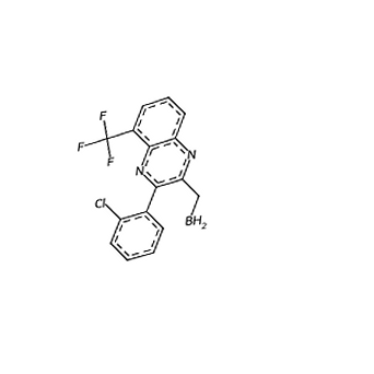 BCc1nc2cccc(C(F)(F)F)c2nc1-c1ccccc1Cl